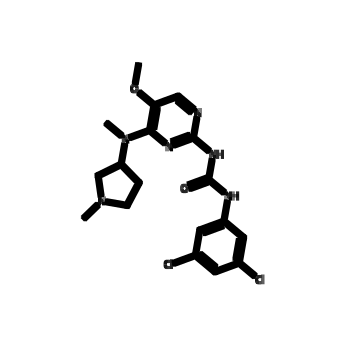 COc1cnc(NC(=O)Nc2cc(Cl)cc(Cl)c2)nc1N(C)C1CCN(C)C1